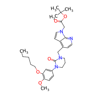 CCCCCOc1cc(N2CCCN(Cc3ccnc4c3ccn4CC(=O)OC(C)(C)C)C2=O)ccc1OC